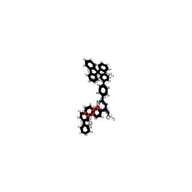 C/C=C(/C=C(\N=C(/C)c1ccccc1)c1ccc(-c2cccc(C3(c4ccccc4C)c4ccccc4-c4ccccc43)c2C)cc1)c1ccc(-c2cccc3c2oc2ccccc23)cc1